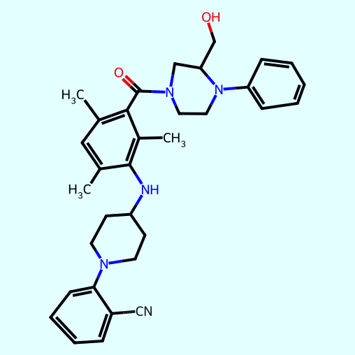 Cc1cc(C)c(C(=O)N2CCN(c3ccccc3)C(CO)C2)c(C)c1NC1CCN(c2ccccc2C#N)CC1